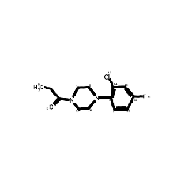 CCC(=O)N1CCN(c2ccc(F)cc2Cl)CC1